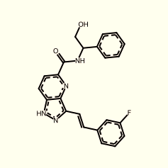 O=C(NC(CO)c1ccccc1)c1ccc2[nH]nc(/C=C/c3cccc(F)c3)c2n1